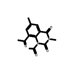 CC(=O)c1cc(C)cc2c(=O)n(C)c(=O)n(C(C)=O)c12